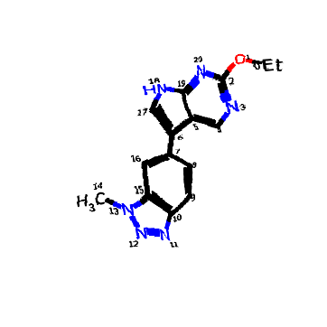 CCOc1ncc2c(-c3ccc4nnn(C)c4c3)c[nH]c2n1